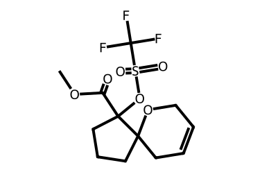 COC(=O)C1(OS(=O)(=O)C(F)(F)F)CCCC12CC=CCO2